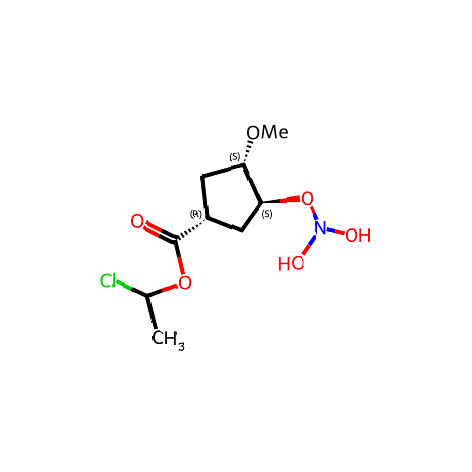 CO[C@H]1C[C@@H](C(=O)OC(C)Cl)C[C@@H]1ON(O)O